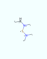 CBN(C)SN(C)C